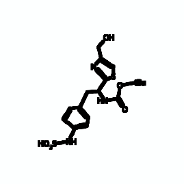 CC(C)(C)OC(=O)NC(Cc1ccc(NS(=O)(=O)O)cc1)c1nc(CO)cs1